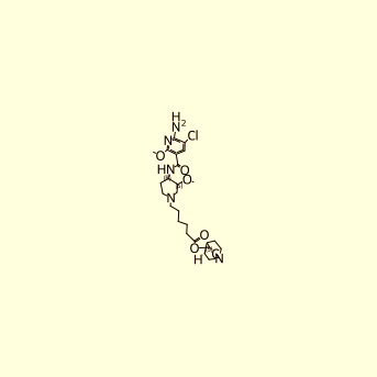 COc1nc(N)c(Cl)cc1C(=O)N[C@@H]1CCN(CCCCCC(=O)O[C@@H]2CN3CCC2CC3)C[C@@H]1OC